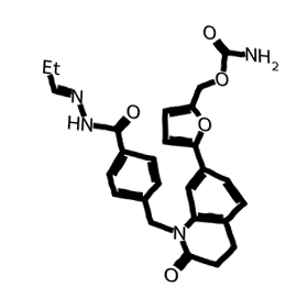 CCC=NNC(=O)c1ccc(CN2C(=O)CCc3ccc(-c4ccc(COC(N)=O)o4)cc32)cc1